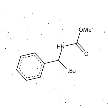 COC(=O)NC(c1ccccc1)C(C)(C)C